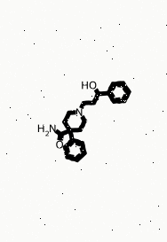 NC(=O)C1(c2ccccc2)CCN(CCC(O)c2ccccc2)CC1